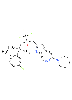 Cc1ccc(F)cc1C(C)(C)CC(O)(Cc1cc2cc(N3CCCCC3)ncc2[nH]1)C(F)(F)F